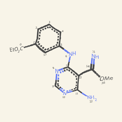 CCOC(=O)c1cccc(Nc2ncnc(N)c2C(=N)OC)c1